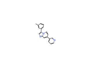 Cc1cccc(-c2cnc3cc(-c4cccnc4)ccn23)c1